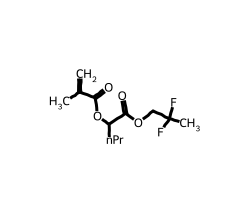 C=C(C)C(=O)OC(CCC)C(=O)OCC(C)(F)F